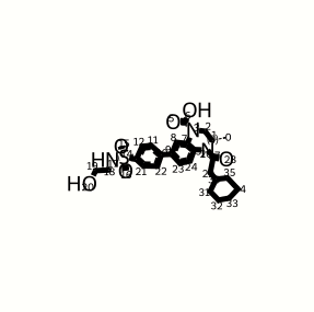 C[C@H]1CN(C(=O)O)c2cc(-c3ccc(S(=O)(=O)NCCO)cc3)ccc2N1C(=O)CC1CCCCC1